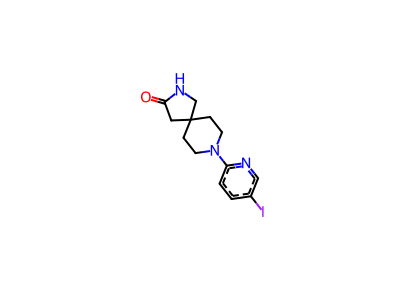 O=C1CC2(CCN(c3ccc(I)cn3)CC2)CN1